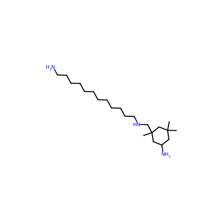 CC1(C)CC(N)CC(C)(CNCCCCCCCCCCCCN)C1